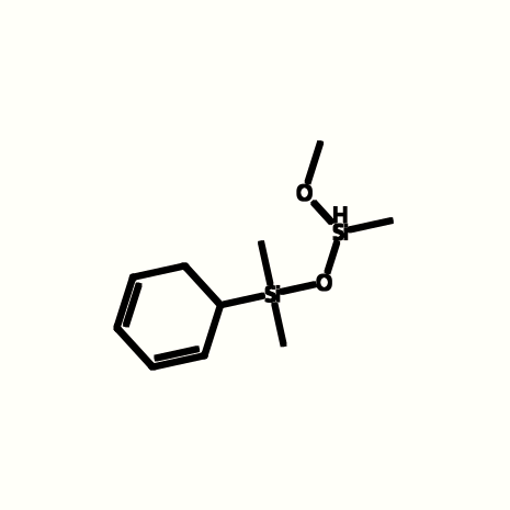 CO[SiH](C)O[Si](C)(C)C1C=CC=CC1